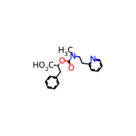 CN(CCc1ccccn1)C(=O)O[C@@H](Cc1ccccc1)C(=O)O